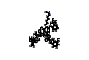 C/C=C\CCCCC[C@H](NCc1ccccc1C(F)(F)F)C(=O)N1C[C@H](OC(=O)N2Cc3cccc(F)c3C2)C[C@H]1C(=O)NC1(C(=O)NS(=O)(=O)C2CC2)CC1